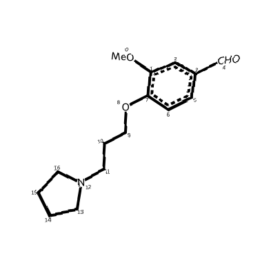 COc1cc(C=O)ccc1OCCCN1CCCC1